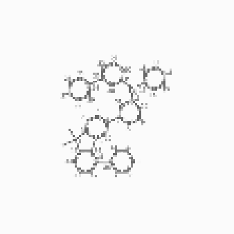 CC1(C)c2ccc(-c3cccc(N(c4ccccc4)c4cccc(-c5ccccc5)c4)c3)cc2-c2c(-c3ccccc3)cccc21